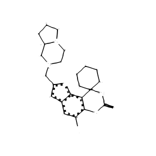 O=C1Nc2c(Cl)cc3cc(CN4CCN5CCCC5C4)oc3c2C2(CCCCC2)N1